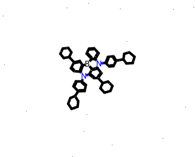 c1ccc2c(c1)B1c3cc(C4CCCCC4)ccc3N(c3ccc(C4CCCCC4)cc3)c3cc(C4CCCCC4)cc(c31)N2c1ccc(C2CCCCC2)cc1